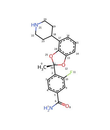 C[C@]1(c2ccc(C(N)=O)cc2F)Oc2cccc(C3CCNCC3)c2O1